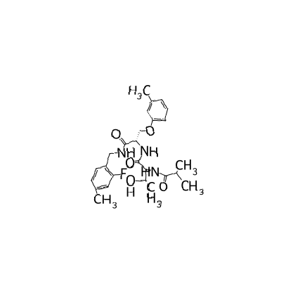 Cc1cccc(OC[C@H](NC(=O)[C@@H](NC(=O)C(C)C)[C@@H](C)O)C(=O)NCc2ccc(C)cc2F)c1